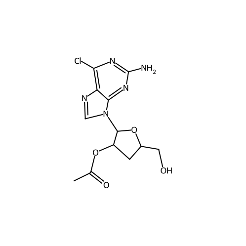 CC(=O)OC1CC(CO)OC1n1cnc2c(Cl)nc(N)nc21